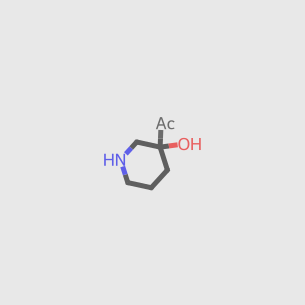 CC(=O)C1(O)CCCNC1